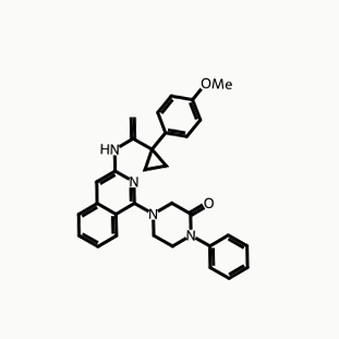 C=C(Nc1cc2ccccc2c(N2CCN(c3ccccc3)C(=O)C2)n1)C1(c2ccc(OC)cc2)CC1